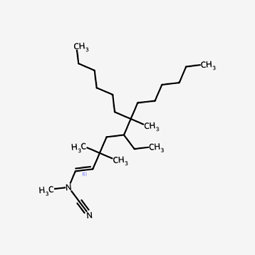 CCCCCCC(C)(CCCCCC)C(CC)CC(C)(C)/C=C/N(C)C#N